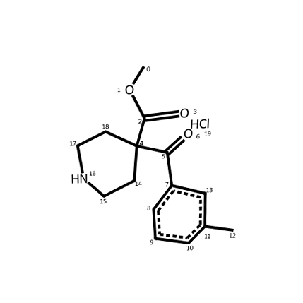 COC(=O)C1(C(=O)c2cccc(C)c2)CCNCC1.Cl